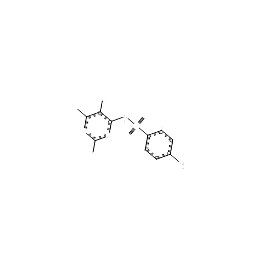 CCc1nc(CC)c(S)c(NS(=O)(=O)c2ccc(N)cc2)n1